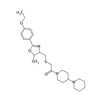 CCOc1ccc(C2=NC(CSCC(=O)N3CCC(N4CCCCC4)CC3)C(C)O2)cc1